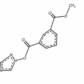 COC(=O)c1cccc(C(=O)On2cncn2)c1